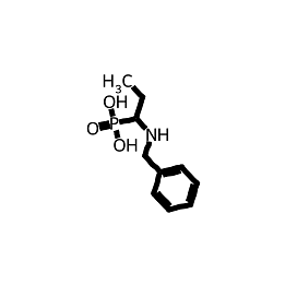 CCC(NCc1ccccc1)P(=O)(O)O